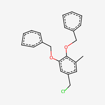 Cc1cc(CCl)cc(OCc2ccccc2)c1OCc1ccccc1